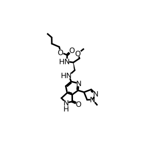 CCCCOC(=O)N[C@H](CNc1cc2c(c(C3C=NN(C)C3)n1)C(=O)NC2)COC